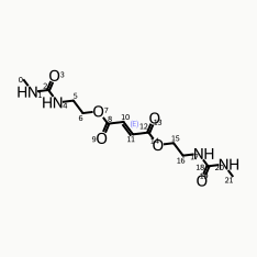 CNC(=O)NCCOC(=O)/C=C/C(=O)OCCNC(=O)NC